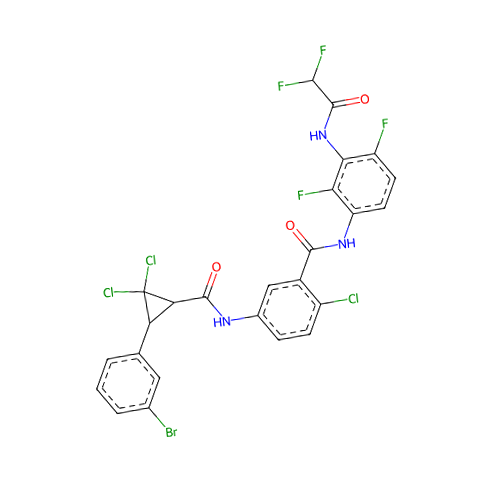 O=C(Nc1ccc(F)c(NC(=O)C(F)F)c1F)c1cc(NC(=O)C2C(c3cccc(Br)c3)C2(Cl)Cl)ccc1Cl